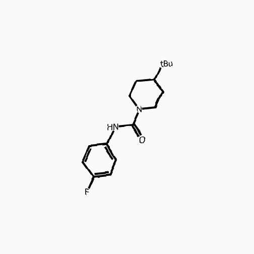 CC(C)(C)C1CCN(C(=O)Nc2ccc(F)cc2)CC1